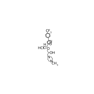 CN1CCN(CC(O)COCc2cc(-c3ccc(C(F)(F)F)cc3)no2)CC1.Cl.Cl